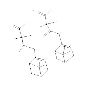 CC(C)(C(=O)O)C(=O)CC1=CCC2CC1C2(C)C.CC(C)(C(=O)O)C(O)CC1=CCC2CC1C2(C)C